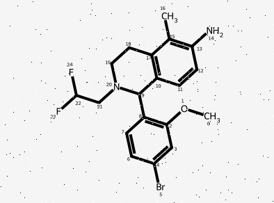 COc1cc(Br)ccc1C1c2ccc(N)c(C)c2CCN1CC(F)F